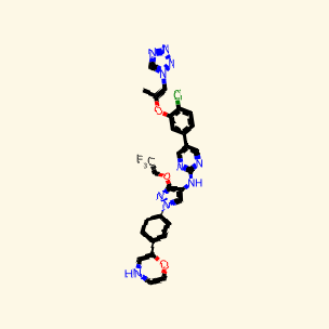 CC(Cn1cnnn1)Oc1cc(-c2cnc(Nc3cn([C@H]4CC[C@H](C5CNCCO5)CC4)nc3OCC(F)(F)F)nc2)ccc1Cl